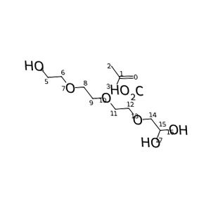 C=C(C)C(=O)O.OCCOCCOCCOCC(O)O